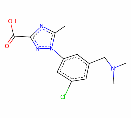 Cc1nc(C(=O)O)nn1-c1cc(Cl)cc(CN(C)C)c1